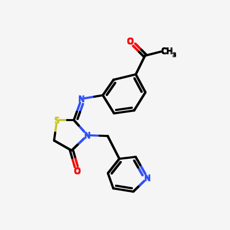 CC(=O)c1cccc(/N=C2/SCC(=O)N2Cc2cccnc2)c1